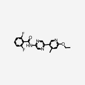 CCOc1cc(C)c(-c2cnc(NC(=O)c3c(F)cccc3F)cn2)cn1